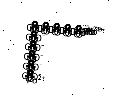 O=C([O-])c1ccccc1C(=O)[O-].O=C([O-])c1ccccc1C(=O)[O-].O=C([O-])c1ccccc1C(=O)[O-].O=C([O-])c1ccccc1C(=O)[O-].O=C([O-])c1ccccc1C(=O)[O-].O=C([O-])c1ccccc1C(=O)[O-].O=C([O-])c1ccccc1C(=O)[O-].O=C([O-])c1ccccc1C(=O)[O-].O=C([O-])c1ccccc1C(=O)[O-].O=C([O-])c1ccccc1C(=O)[O-].[Pb+2].[Pb+2].[Pb+2].[Pb+2].[Pb+2]